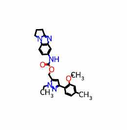 CCn1nc(-c2ccc(C)cc2OC)cc1COC(=O)Nc1ccc2c(c1)nc1n2CCC1